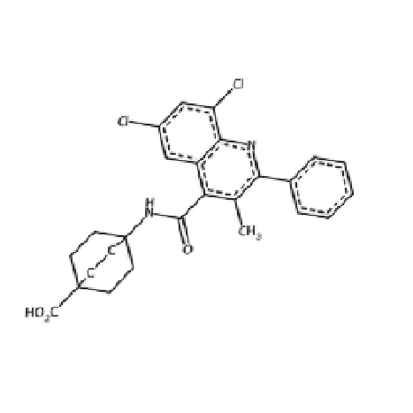 Cc1c(-c2ccccc2)nc2c(Cl)cc(Cl)cc2c1C(=O)NC12CCC(C(=O)O)(CC1)CC2